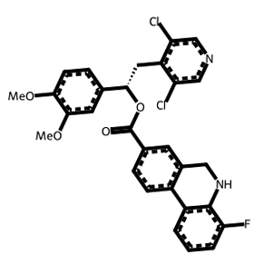 COc1ccc([C@H](Cc2c(Cl)cncc2Cl)OC(=O)c2ccc3c(c2)CNc2c(F)cccc2-3)cc1OC